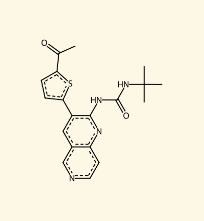 CC(=O)c1ccc(-c2cc3cnccc3nc2NC(=O)NC(C)(C)C)s1